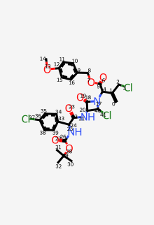 C=C(CCl)C(C(=O)OCc1ccc(OC)cc1)N1C(=O)C(NC(=O)C(NC(=O)OC(C)(C)C)c2ccc(Cl)cc2)C1Cl